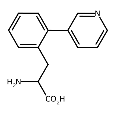 NC(Cc1ccccc1-c1cccnc1)C(=O)O